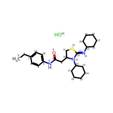 CCc1ccc(NC(=O)CC2CS/C(=N\C3CCCCC3)N2C2CCCCC2)cc1.Cl